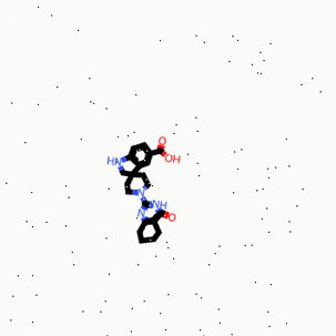 O=C(O)c1ccc2c(c1)C1(CCN(c3nc4c(c(=O)[nH]3)CCCC4)CC1)CN2